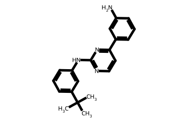 CC(C)(C)c1cccc(Nc2nccc(-c3cccc(N)c3)n2)c1